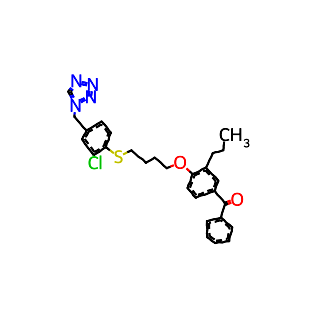 CCCc1cc(C(=O)c2ccccc2)ccc1OCCCCSc1ccc(Cn2cnnn2)cc1Cl